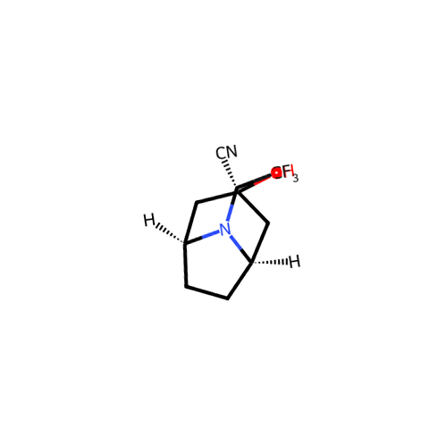 N#C[C@]1(O)C[C@H]2CC[C@@H](C1)N2CC(F)(F)F